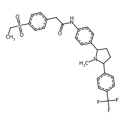 CCS(=O)(=O)c1ccc(CC(=O)Nc2ccc(C3CCC(c4ccc(C(F)(F)F)cc4)N3C)cc2)cc1